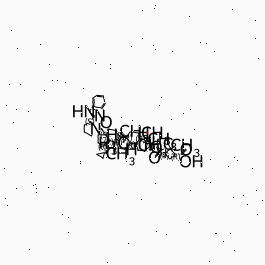 CC1([C@@H]2CC[C@]3(C(=O)N4CCC[C@H]4c4nc5ccccc5[nH]4)CC[C@]4(C)[C@H](CC[C@@H]5[C@@]6(C)CC[C@H](OC(=O)[C@H]7C[C@@H](C(=O)O)C7(C)C)C(C)(C)[C@@H]6CC[C@]54C)[C@@H]23)CC1